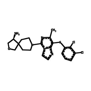 Cc1nc(N2CCC3(CC2)COC[C@H]3N)n2ccnc2c1Sc1cccc(Cl)c1Cl